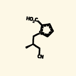 C[C@H](CC#N)Cn1cccc1C(=O)O